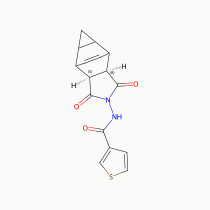 O=C(NN1C(=O)[C@@H]2C3C=CC(C4CC43)[C@@H]2C1=O)c1ccsc1